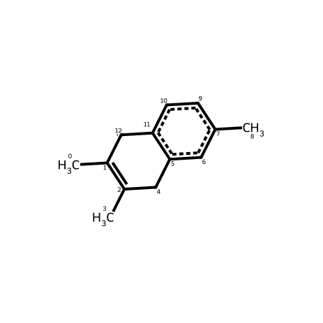 CC1=C(C)Cc2cc(C)ccc2[CH]1